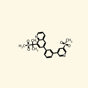 CC(C)(c1cc(-c2cccc(-c3cncc(S(C)(=O)=O)c3)c2)cc2cccnc12)S(C)(=O)=O